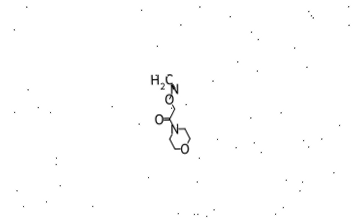 C=NOCC(=O)N1CCOCC1